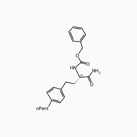 CCCCCc1ccc(CC[C@H](NC(=O)OCc2ccccc2)C(N)=O)cc1